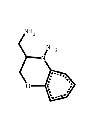 NCC1COc2ccccc2N1N